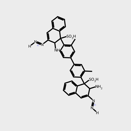 [H]/N=N/C1=Cc2ccccc2C(c2ccc(-c3ccc(C4(S(=O)(=O)O)c5ccccc5C=C(/N=N/[H])C4N)c(C)c3)cc2C)(S(=O)(=O)O)C1N